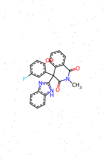 CN1C(=O)c2ccccc2C(c2nc3ccccc3[nH]2)(c2cc(F)ccc2O)C1=O